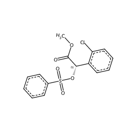 COC(=O)[C@@H](OS(=O)(=O)c1ccccc1)c1ccccc1Cl